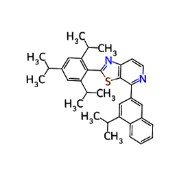 CC(C)c1cc(C(C)C)c(-c2nc3ccnc(-c4cc(C(C)C)c5ccccc5c4)c3s2)c(C(C)C)c1